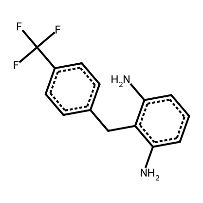 Nc1cccc(N)c1Cc1ccc(C(F)(F)F)cc1